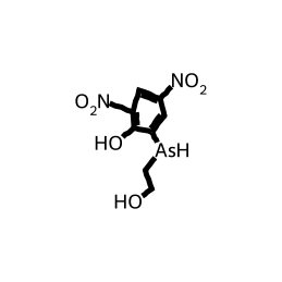 O=[N+]([O-])c1cc([AsH]CCO)c(O)c([N+](=O)[O-])c1